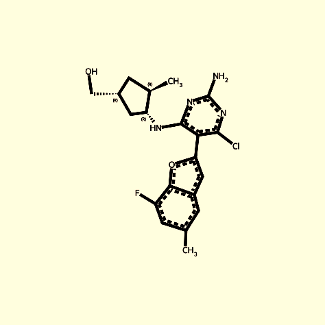 Cc1cc(F)c2oc(-c3c(Cl)nc(N)nc3N[C@@H]3C[C@H](CO)C[C@H]3C)cc2c1